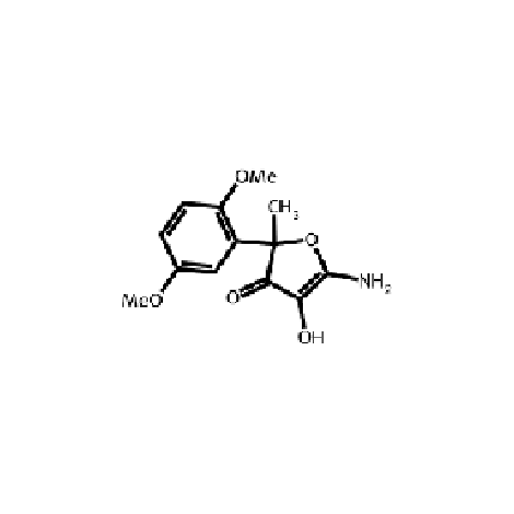 COc1ccc(OC)c(C2(C)OC(N)=C(O)C2=O)c1